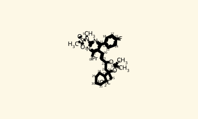 CC(C)c1nc(N(C)S(C)(=O)=O)nc(-c2ccc(F)cc2)c1C=CC1CC(CC(=O)O)(C2CCCCC2)OC(C)(C)O1